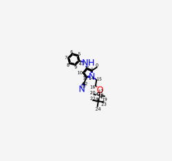 Cc1c(Nc2ccccc2)cc(C#N)n1CCO[Si](C)(C)C(C)(C)C